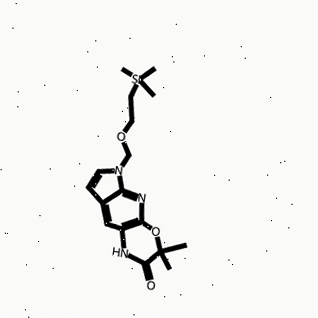 CC1(C)Oc2nc3c(ccn3COCC[Si](C)(C)C)cc2NC1=O